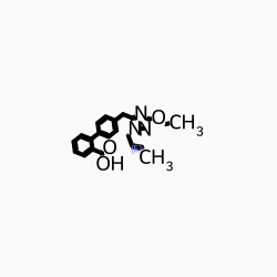 C/C=C/Cn1nc(OCC)nc1Cc1ccc(-c2ccccc2C(=O)O)cc1